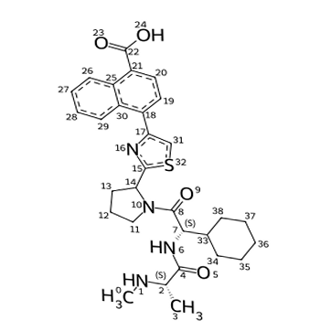 CN[C@@H](C)C(=O)N[C@H](C(=O)N1CCCC1c1nc(-c2ccc(C(=O)O)c3ccccc23)cs1)C1CCCCC1